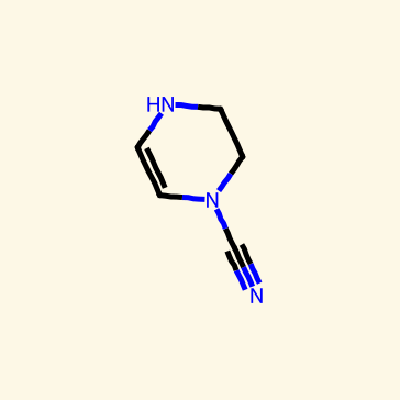 N#CN1C=CNCC1